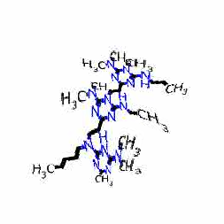 CCCCCN(CCC1N=C(NCC)N(CCC2N=C(NCCC)N(C)C(N(C)C)=N2)C(N(C)C)=N1)C1=NC(C)N=C(N(C)C)N1